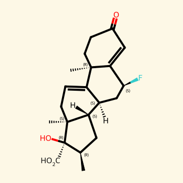 C[C@@H]1C[C@H]2[C@@H]3C[C@H](F)C4=CC(=O)CC[C@]4(C)C3=CC[C@]2(C)[C@@]1(O)C(=O)O